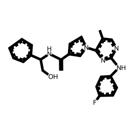 C=C(NC(CO)c1ccccc1)c1ccn(-c2nc(Nc3ccc(F)cc3)ncc2C)c1